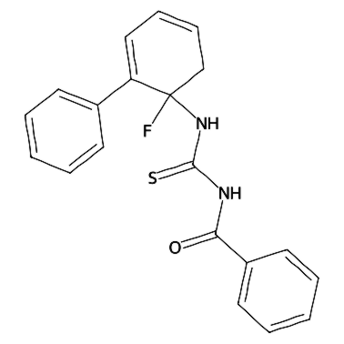 O=C(NC(=S)NC1(F)CC=CC=C1c1ccccc1)c1ccccc1